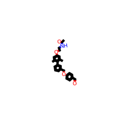 CC(=O)NCCOc1cc(C)c(-c2cccc(COc3ccc(C=O)cc3)c2)c(C)c1